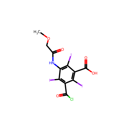 COCC(=O)Nc1c(I)c(C(=O)O)c(I)c(C(=O)Cl)c1I